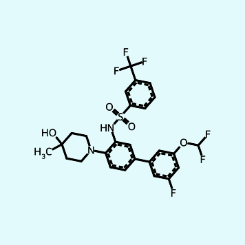 CC1(O)CCN(c2ccc(-c3cc(F)cc(OC(F)F)c3)cc2NS(=O)(=O)c2cccc(C(F)(F)F)c2)CC1